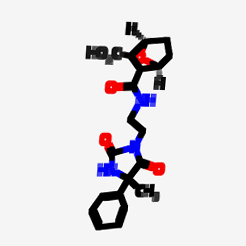 CC1(c2ccccc2)NC(=O)N(CCNC(=O)C2C(C(=O)O)[C@H]3CC[C@@H]2O3)C1=O